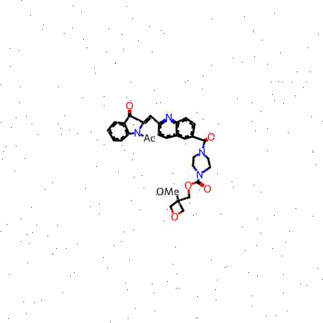 COC1(COC(=O)N2CCN(C(=O)c3ccc4nc(/C=C5/C(=O)c6ccccc6N5C(C)=O)ccc4c3)CC2)COC1